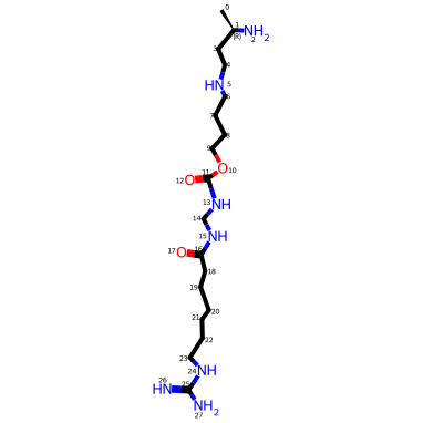 C[C@@H](N)CCNCCCCOC(=O)NCNC(=O)CCCCCCNC(=N)N